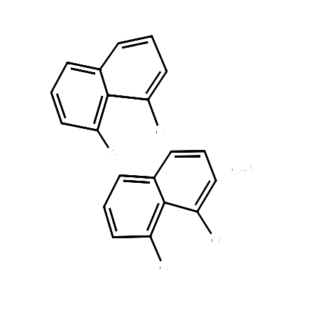 [Ce+4].[O-]c1cccc2cccc([O-])c12.[O-]c1cccc2cccc([O-])c12